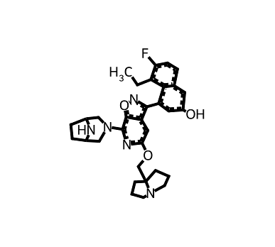 CCc1c(F)ccc2cc(O)cc(-c3noc4c(N5CC6CCC(C5)N6)nc(OCC56CCCN5CCC6)cc34)c12